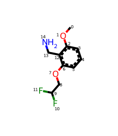 COc1cccc(OCC(F)F)c1CN